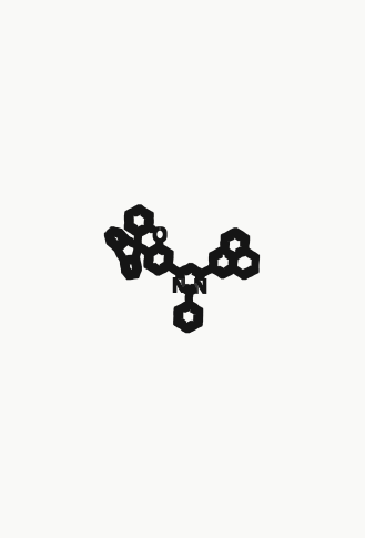 C1=Cc2cc(-c3cc(-c4ccc5c(c4)Oc4ccccc4C54c5ccccc5-c5ccccc54)nc(-c4ccccc4)n3)cc3cccc(c23)C1